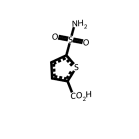 NS(=O)(=O)c1ccc(C(=O)O)s1